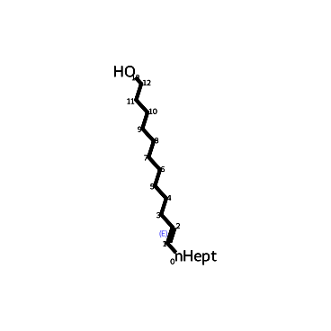 CCCCCCC/C=C/CCCCCCCCCCO